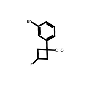 O=CC1(c2cccc(Br)c2)CC(F)C1